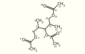 CC(=O)OCC(C)C(OC(C)=O)C(C)COC(C)=O